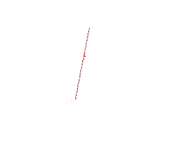 CCCCCCC=CCCCCCCCCCCCC(=O)OCCCCCCCCCCCCCCCCCCCCCCCCCCCO